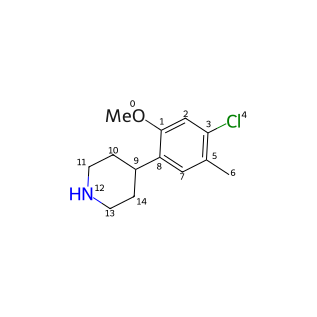 COc1cc(Cl)c(C)cc1C1CCNCC1